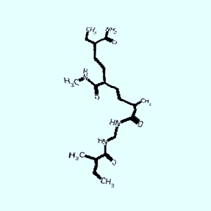 CCC(C)C(=O)NCNC(=O)C(C)CCC(CCC(CC)C(N)=O)C(=O)NC